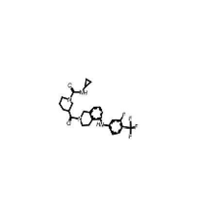 O=C(NC1CC1)N1CCCC(C(=O)N2CCc3c(cccc3Nc3ccc(C(F)(F)F)c(F)c3)C2)C1